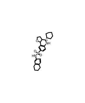 O=S(=O)(Nc1ccc2c(c1)CCCC2)c1ccc2c(c1)C1OCCC1[C@H](C1CCCCC1)N2